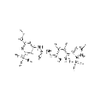 CCOc1cc(NC(=O)NCc2nnc(-c3cn(C)nc3C(F)(F)F)c(C)c2C)cc(C(F)(F)F)n1